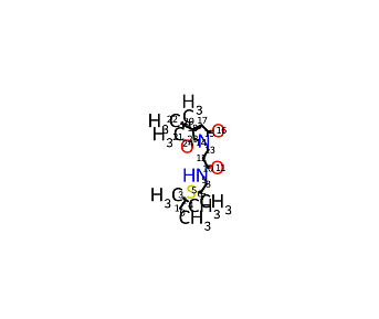 CCC(C)(C)SC(C)CNC(=O)CCN1C(=O)C=C(C(C)(C)C)C1=O